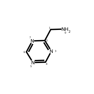 NCc1ncncn1